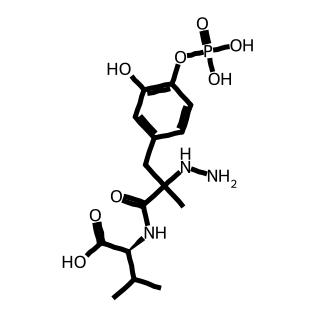 CC(C)[C@H](NC(=O)C(C)(Cc1ccc(OP(=O)(O)O)c(O)c1)NN)C(=O)O